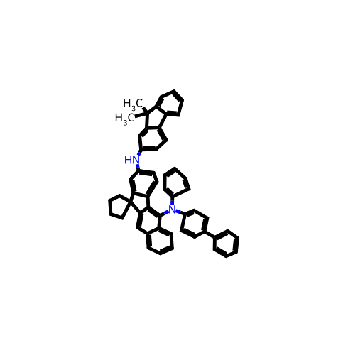 CC1(C)c2ccccc2-c2ccc(Nc3ccc4c(c3)C3(CCCC3)c3cc5ccccc5c(N(c5ccccc5)c5ccc(-c6ccccc6)cc5)c3-4)cc21